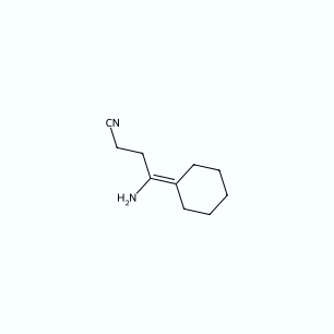 N#CCCC(N)=C1CCCCC1